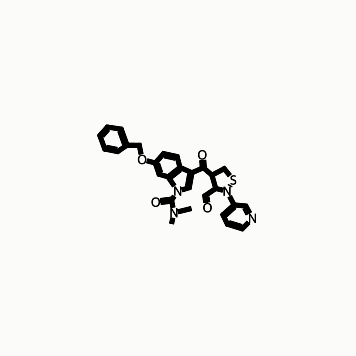 CN(C)C(=O)n1cc(C(=O)C2CSN(c3cccnc3)C2C=O)c2ccc(OCc3ccccc3)cc21